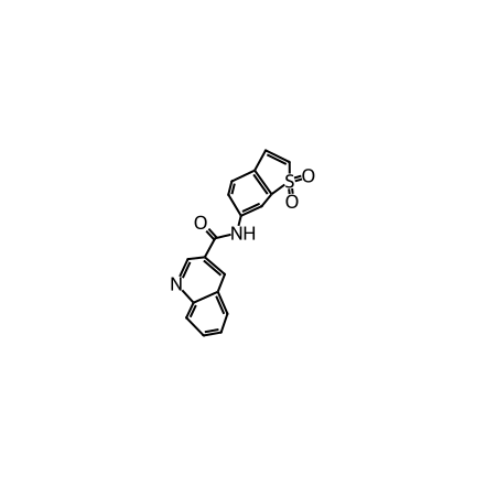 O=C(Nc1ccc2c(c1)S(=O)(=O)C=C2)c1cnc2ccccc2c1